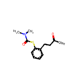 COC(=O)CCc1ccccc1SC(=O)N(C)C